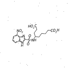 O=C(O)CCCCC(CCC(=O)O)NS(=O)(=O)c1nc2c([N+](=O)[O-])cccc2[nH]1